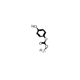 COC(=O)Oc1ccc(O)cc1